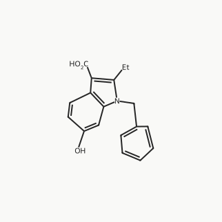 CCc1c(C(=O)O)c2ccc(O)cc2n1Cc1ccccc1